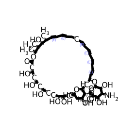 CC1OC(O[C@H]2/C=C/C=C/C=C/C=C/CC/C=C/C=C/[C@H](C)[C@@H](O)[C@@H](C)[C@H](C)OC(=O)C[C@H](O)C[C@H](O)C[C@H](O)CC[C@@H](O)[C@H](O)C[C@]3(O)C[C@H](O)[C@@H](C(=O)O)[C@H](C2)O3)C(O)C(N)C1O